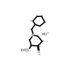 CCOC(=O)C1CN(CC2CCCCC2)CCC1=O.Cl